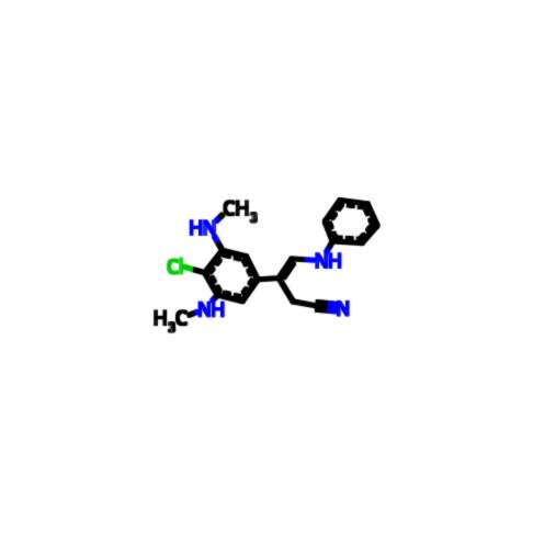 CNc1cc(C(=CNc2ccccc2)CC#N)cc(NC)c1Cl